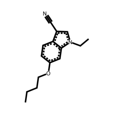 CCCCOc1ccc2c(C#N)cn(CC)c2c1